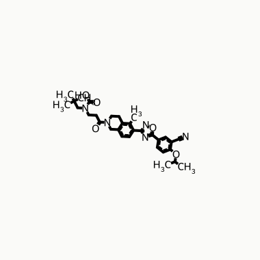 Cc1c(-c2noc(-c3ccc(OC(C)C)c(C#N)c3)n2)ccc2c1CCN(C(=O)CCN(CC(C)(C)C)C(=O)O)C2